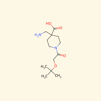 CC(C)(C)OCC(=O)N1CCC(CN)(C(=O)O)CC1